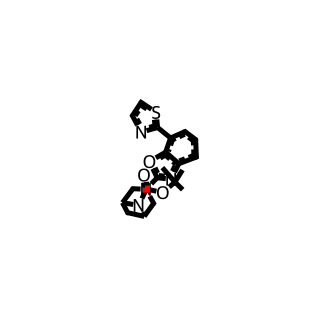 CC(C)(C)OC(=O)N1C2CC1CN(c1nc3cccc(-c4nccs4)c3o1)C2